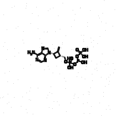 C=C1[C@H](CO[PH](O)(O)OP(O)OP(=O)(O)O)C[C@@H]1n1cnc2c(N)ncnc21